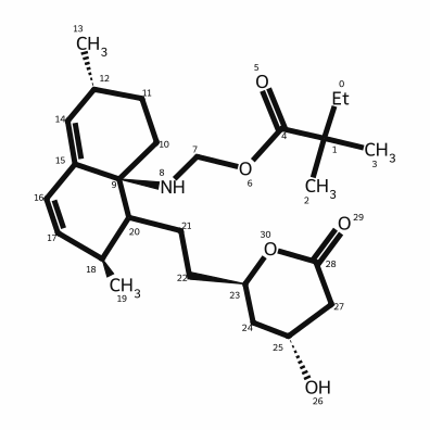 CCC(C)(C)C(=O)OCN[C@]12CC[C@@H](C)C=C1C=C[C@H](C)C2CC[C@@H]1C[C@@H](O)CC(=O)O1